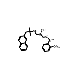 COc1ccccc1[C@@H](C)OC[C@@H](O)CNC(C)(C)Cc1ccc2ccccc2c1